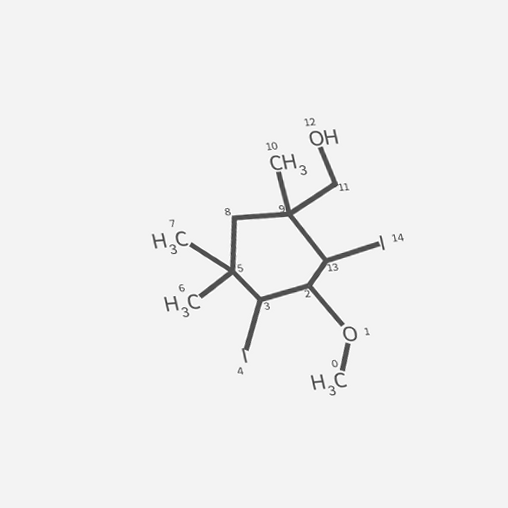 COC1C(I)C(C)(C)CC(C)(CO)C1I